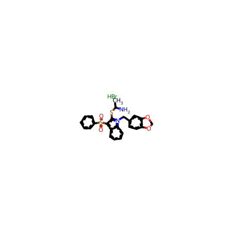 Br.CC(N)Sc1c(S(=O)(=O)c2ccccc2)c2ccccc2n1Cc1ccc2c(c1)OCO2